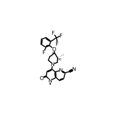 C[C@@H]1CN(c2cc(=O)n(C)c3ccc(C#N)nc23)CC[C@H]1Oc1c(F)cccc1C(F)(F)F